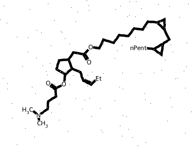 CC/C=C\CC1C(CC(=O)OCCCCCCCCC2CC2CC2CC2CCCCC)CCC1OC(=O)CCCN(C)C